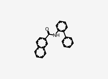 O=C(Nc1ccccc1-c1ccccc1)c1ccc2ccccc2c1